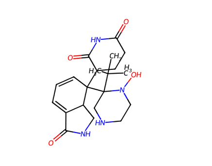 CC(C)(C)C1(C2(C3CCC(=O)NC3=O)C=CC=C3C(=O)NCC32)CNCCN1O